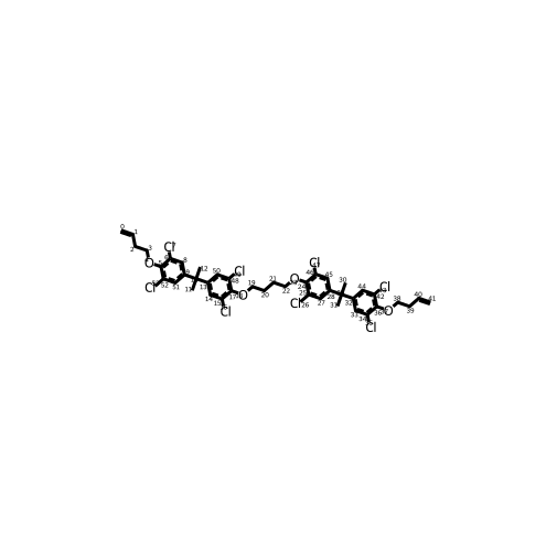 C=CCCOc1c(Cl)cc(C(C)(C)c2cc(Cl)c(OCCCCOc3c(Cl)cc(C(C)(C)c4cc(Cl)c(OCCC=C)c(Cl)c4)cc3Cl)c(Cl)c2)cc1Cl